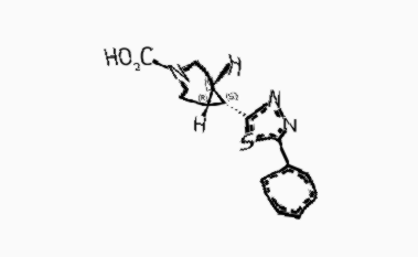 O=C(O)N1C[C@@H]2[C@H](C1)[C@@H]2c1nnc(-c2ccccc2)s1